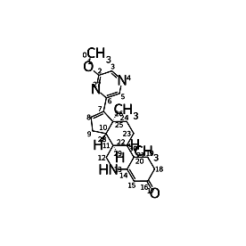 COc1cncc(C2=CC[C@H]3[C@@H]4CNC5=CC(=O)CC[C@]5(C)[C@H]4CC[C@]23C)n1